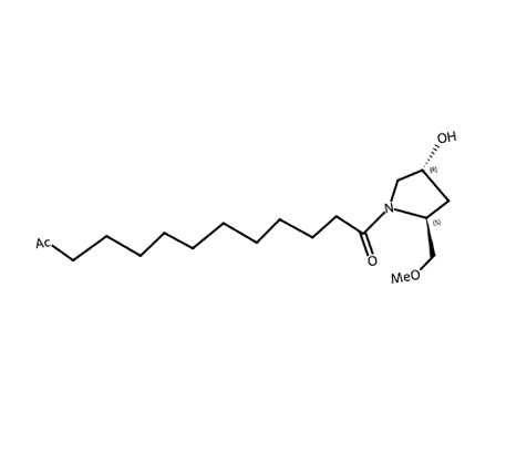 COC[C@@H]1C[C@@H](O)CN1C(=O)CCCCCCCCCCC(C)=O